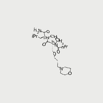 CCCC(=O)N(C)[C@H](COCCCN1CCOCC1)C(=O)N(C)[C@@H](CC(C)C)C(N)=O